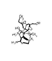 CCCC[C@@]1(OP(N)O)[C@H](O)[C@@H](CO)O[C@]1(n1cnc2c(N)ncnc21)[SiH](C)C